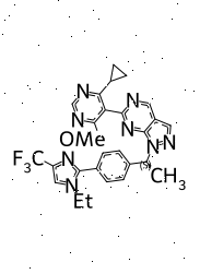 CCn1cc(C(F)(F)F)nc1-c1ccc([C@H](C)n2ncc3cnc(-c4c(OC)ncnc4C4CC4)nc32)cc1